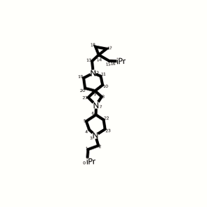 CC(C)CCN1CCC(N2CC3(CCN(CC4(CC(C)C)CC4)CC3)C2)CC1